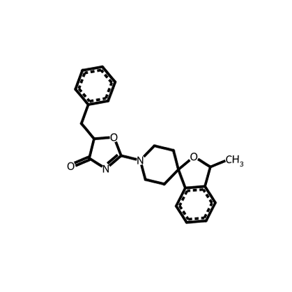 CC1OC2(CCN(C3=NC(=O)C(Cc4ccccc4)O3)CC2)c2ccccc21